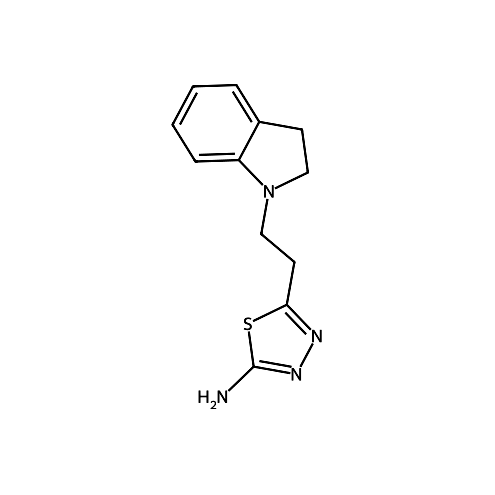 Nc1nnc(CCN2CCc3ccccc32)s1